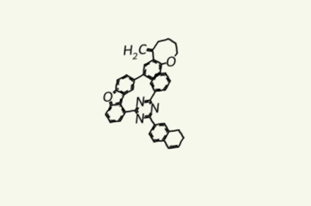 C=C1CCCCOc2ccc(-c3ccc4oc5cccc(-c6nc(-c7ccccc7)nc(-c7ccc8c(c7)CCC=C8)n6)c5c4c3)cc21